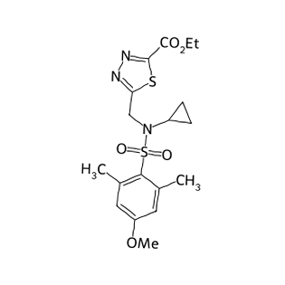 CCOC(=O)c1nnc(CN(C2CC2)S(=O)(=O)c2c(C)cc(OC)cc2C)s1